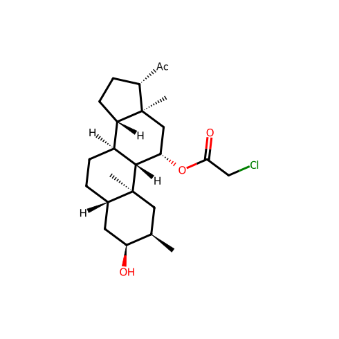 CC(=O)[C@H]1CC[C@H]2[C@@H]3CC[C@H]4C[C@H](O)[C@H](C)C[C@]4(C)[C@H]3[C@@H](OC(=O)CCl)C[C@]12C